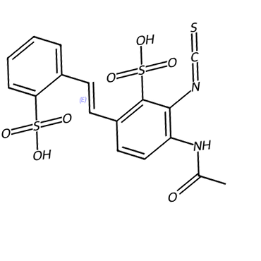 CC(=O)Nc1ccc(/C=C/c2ccccc2S(=O)(=O)O)c(S(=O)(=O)O)c1N=C=S